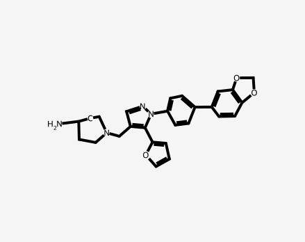 NC1CCN(Cc2cnn(-c3ccc(-c4ccc5c(c4)OCO5)cc3)c2-c2ccco2)CC1